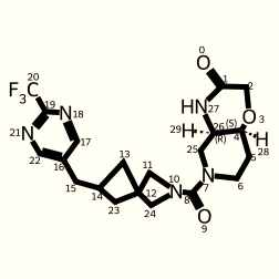 O=C1CO[C@H]2CCN(C(=O)N3CC4(CC(Cc5cnc(C(F)(F)F)nc5)C4)C3)C[C@H]2N1